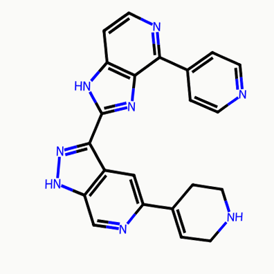 C1=C(c2cc3c(-c4nc5c(-c6ccncc6)nccc5[nH]4)n[nH]c3cn2)CCNC1